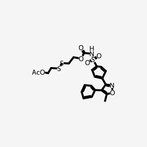 CC(=O)OCCSSCCOC(=O)NS(=O)(=O)c1ccc(-c2noc(C)c2-c2ccccc2)cc1